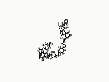 CC(=O)N1CCN(c2ccnn2-c2cn(C3CCC(CN4CCC(OCC#Cc5cccc6c5c(C)nn6C5CCC(=O)NC5=O)CC4)CC3)nc2C(F)F)CC1